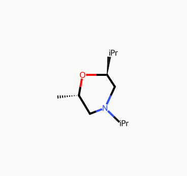 CC(C)[C@H]1CN(C(C)C)C[C@H](C)O1